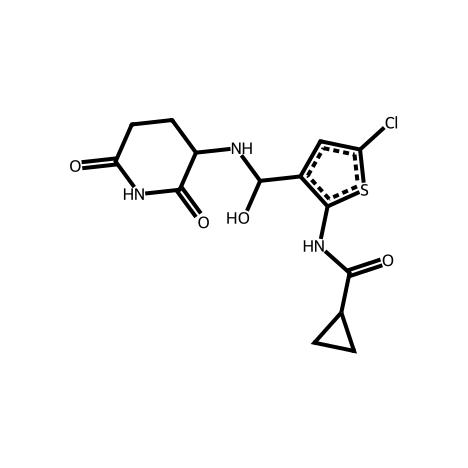 O=C1CCC(NC(O)c2cc(Cl)sc2NC(=O)C2CC2)C(=O)N1